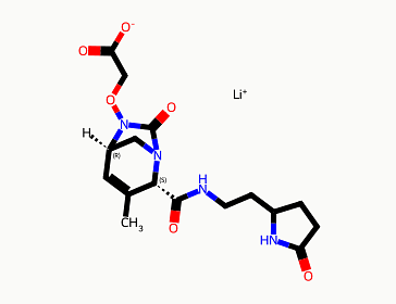 CC1=C[C@@H]2CN(C(=O)N2OCC(=O)[O-])[C@@H]1C(=O)NCCC1CCC(=O)N1.[Li+]